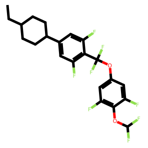 CCC1CCC(c2cc(F)c(C(F)(F)Oc3cc(F)c(OC(F)F)c(F)c3)c(F)c2)CC1